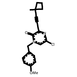 COc1ccc(Cn2cc(Cl)nc(C#CC3(C)CCC3)c2=O)cc1